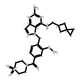 COc1cc(C(=O)N2CCS(=O)(=O)CC2)ccc1Cn1ncc2nc(N)nc(NCC3CC4(CC4)C3)c21